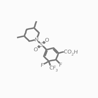 CC1CC(C)CN(S(=O)(=O)C2=CC(F)(C(F)(F)F)C(F)C(C(=O)O)=C2)C1